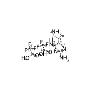 CC(CN)c1cnc(N)nc1N.O=C(O)C(F)(F)F.O=C(O)C(F)(F)F